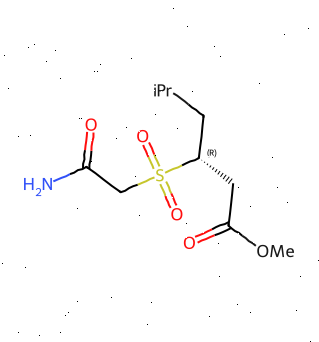 COC(=O)C[C@@H](CC(C)C)S(=O)(=O)CC(N)=O